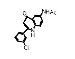 CC(=O)Nc1ccc2[nH]c(-c3cccc(Cl)c3)cc(=O)c2c1